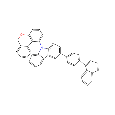 c1ccc2c(c1)COc1cccc(-n3c4ccccc4c4cc(-c5ccc(-c6cccc7ccccc67)cc5)ccc43)c1-2